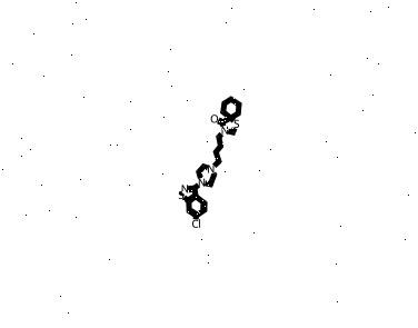 O=C1N(CCCCN2CCN(c3nsc4cc(Cl)ccc34)CC2)CSC12CCCCC2